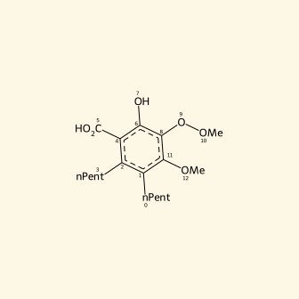 CCCCCc1c(CCCCC)c(C(=O)O)c(O)c(OOC)c1OC